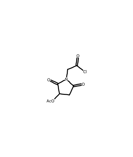 CC(=O)OC1CC(=O)N(CC(=O)Cl)C1=O